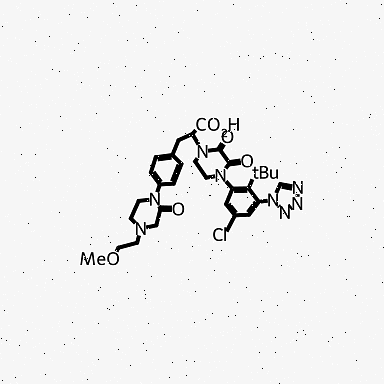 COCCN1CCN(c2ccc(CC(C(=O)O)N3CCN(c4cc(Cl)cc(-n5cnnn5)c4C(C)(C)C)C(=O)C3=O)cc2)C(=O)C1